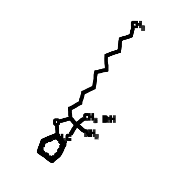 Br.CCCCCCCCCCCC(Oc1ccccc1)C(C)(C)N